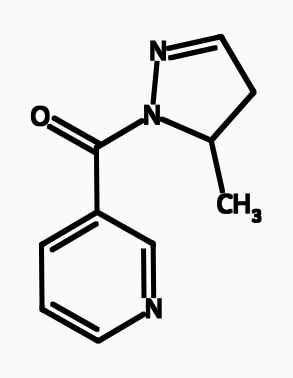 CC1CC=NN1C(=O)c1cccnc1